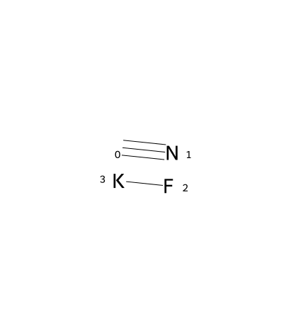 C#N.[F][K]